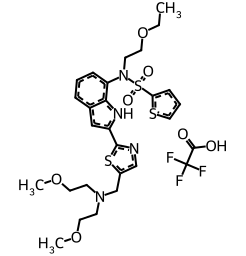 CCOCCN(c1cccc2cc(-c3ncc(CN(CCOC)CCOC)s3)[nH]c12)S(=O)(=O)c1cccs1.O=C(O)C(F)(F)F